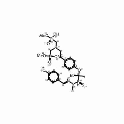 CCC(C)(Oc1ccc(CCN(CP(=O)(O)OC)CP(=O)(OC)OC)cc1)[PH](=S)N(C)N=Cc1ccc(O)cc1